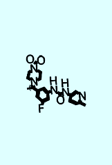 COC(=O)N1CCN([C@H](C)c2cc(F)cc(NC(=O)Nc3ccc(C)nc3)c2)CC1